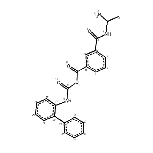 CC(N)NC(=O)c1cccc(C(=O)OC(=O)Nc2ccccc2-c2ccccc2)c1